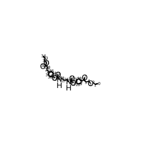 C=CCOCCC(=O)c1ccc(OC(=O)NCCCNC(=O)Oc2ccc(CCC(=O)OCC=C)cc2)cc1